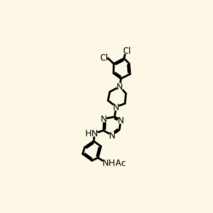 CC(=O)Nc1cccc(Nc2ncnc(N3CCN(c4ccc(Cl)c(Cl)c4)CC3)n2)c1